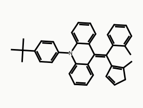 CC1=C(C(=C2c3ccccc3N(c3ccc(C(C)(C)C)cc3)c3ccccc32)c2ccccc2C)C=CC1